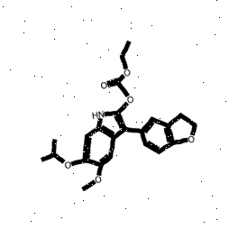 CCOC(=O)Oc1[nH]c2cc(OC(C)C)c(OC)cc2c1-c1ccc2c(c1)CCO2